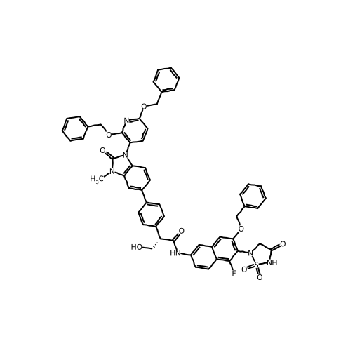 Cn1c(=O)n(-c2ccc(OCc3ccccc3)nc2OCc2ccccc2)c2ccc(-c3ccc([C@@H](CO)C(=O)Nc4ccc5c(F)c(N6CC(=O)NS6(=O)=O)c(OCc6ccccc6)cc5c4)cc3)cc21